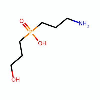 NCCCP(=O)(O)CCCO